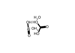 O.O.O=C(O)O.[O]=[Al][OH]